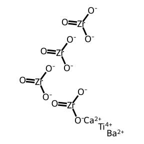 [Ba+2].[Ca+2].[O]=[Zr]([O-])[O-].[O]=[Zr]([O-])[O-].[O]=[Zr]([O-])[O-].[O]=[Zr]([O-])[O-].[Ti+4]